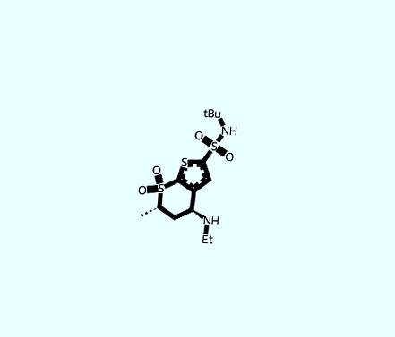 CCN[C@H]1C[C@H](C)S(=O)(=O)c2sc(S(=O)(=O)NC(C)(C)C)cc21